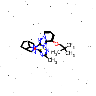 Cc1nsc(N2CC3CCC(C2)C3Nc2nc3c(OCC(C)(C)C(F)(F)F)cccn3n2)n1